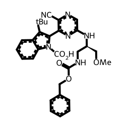 COC[C@@H](CNC(=O)OCc1ccccc1)Nc1cnc(C#N)c(-c2c(C(C)(C)C)c3ccccc3n2C(=O)O)n1